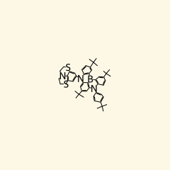 CC(C)(C)c1ccc(N2c3ccc(C(C)(C)C)cc3B3c4cc(C(C)(C)C)ccc4N(c4cc5c6c(c4)SCCN6CCS5)c4cc(C(C)(C)C)cc2c43)cc1